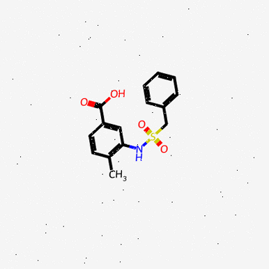 Cc1ccc(C(=O)O)cc1NS(=O)(=O)Cc1ccccc1